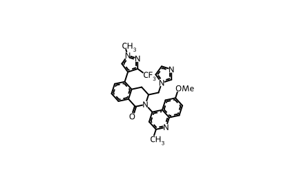 COc1ccc2nc(C)cc(N3C(=O)c4cccc(-c5cn(C)nc5C(F)(F)F)c4CC3Cn3ccnc3)c2c1